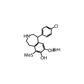 Br.CSc1c(O)c(O)cc2c1CCNCC2c1ccc(Cl)cc1